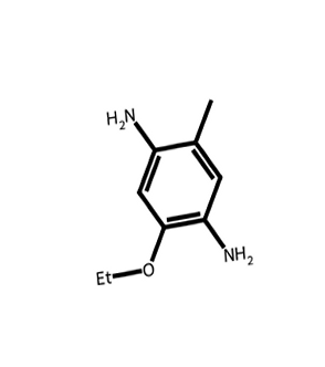 CCOc1cc(N)c(C)cc1N